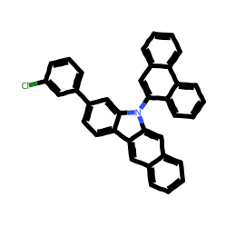 Clc1cccc(-c2ccc3c4cc5ccccc5cc4n(-c4cc5ccccc5c5ccccc45)c3c2)c1